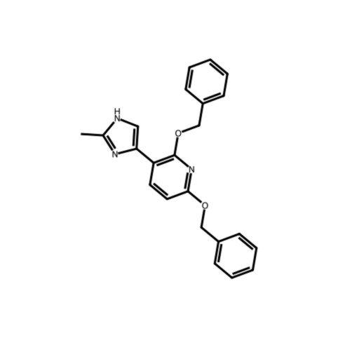 Cc1nc(-c2ccc(OCc3ccccc3)nc2OCc2ccccc2)c[nH]1